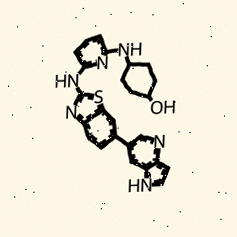 OC1CCC(Nc2cccc(Nc3nc4ccc(-c5cnc6cc[nH]c6c5)cc4s3)n2)CC1